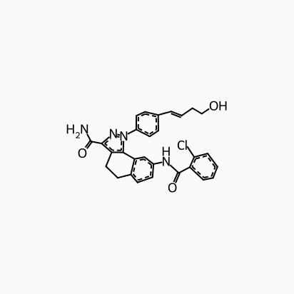 NC(=O)c1nn(-c2ccc(C=CCCO)cc2)c2c1CCc1ccc(NC(=O)c3ccccc3Cl)cc1-2